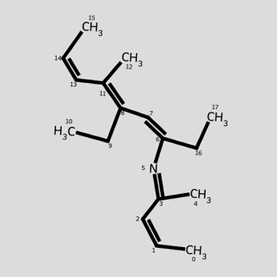 C\C=C/C(C)=N/C(=C\C(CC)=C(C)\C=C/C)CC